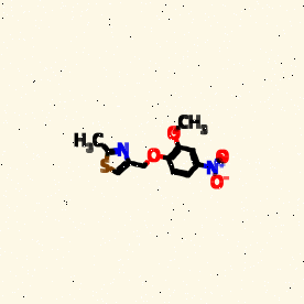 COc1cc([N+](=O)[O-])ccc1OCc1csc(C)n1